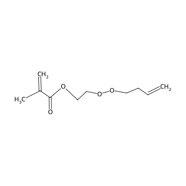 C=CCCOOCCOC(=O)C(=C)C